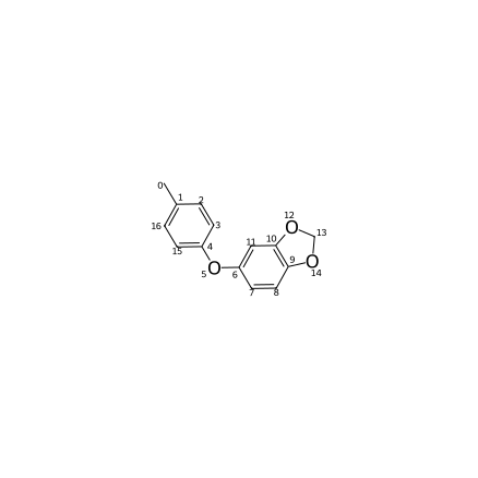 Cc1ccc(Oc2ccc3c(c2)OCO3)cc1